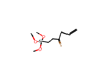 C=CCC(=S)CC[Si](OC)(OC)OC